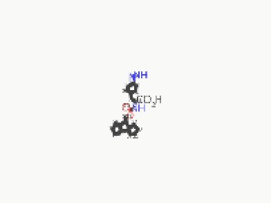 N=Nc1ccc(CC(NC(=O)OCC2c3ccccc3-c3ccccc32)C(=O)O)cc1